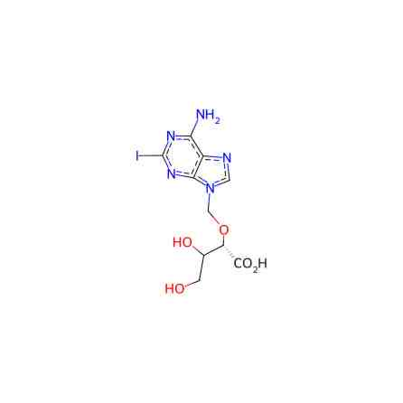 Nc1nc(I)nc2c1ncn2CO[C@H](C(=O)O)C(O)CO